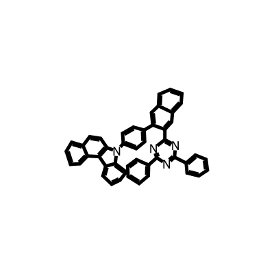 c1ccc(-c2nc(-c3ccccc3)nc(-c3cc4ccccc4cc3-c3ccc(-n4c5ccccc5c5c6ccccc6ccc54)cc3)n2)cc1